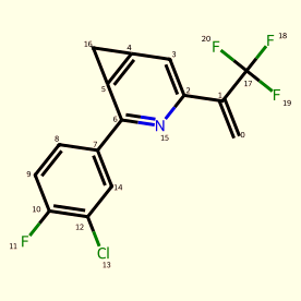 C=C(c1cc2c(c(-c3ccc(F)c(Cl)c3)n1)C2)C(F)(F)F